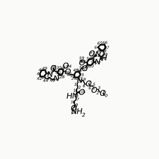 COCCOCCOCCN(CCCC(=O)NCCCON)c1cc(COc2cc3c(cc2OC)C(=O)N2c4ccccc4CC2C=N3)cc(COc2cc3c(cc2OC)C(=O)N2c4ccccc4C[C@H]2C=N3)c1